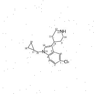 Clc1ccc2c(c1)c(C1CCNCC1)cn2CC1CC1